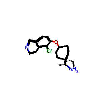 CC[C@]1([C@H](C)N)CC[C@@H](Oc2ccc3cnccc3c2Cl)CC1